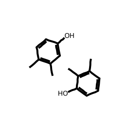 Cc1ccc(O)cc1C.Cc1cccc(O)c1C